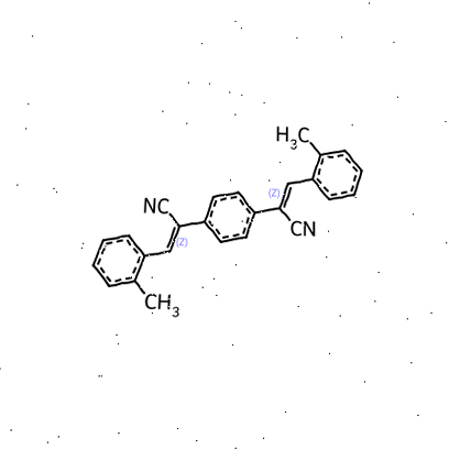 Cc1ccccc1/C=C(\C#N)c1ccc(/C(C#N)=C/c2ccccc2C)cc1